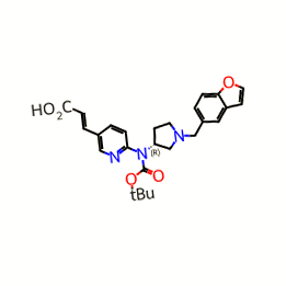 CC(C)(C)OC(=O)N(c1ccc(C=CC(=O)O)cn1)[C@@H]1CCN(Cc2ccc3occc3c2)C1